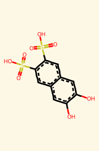 O=S(=O)(O)c1cc2cc(O)c(O)cc2cc1S(=O)(=O)O